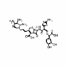 NC1=C(N)C(N)N(C/C=C/C2=C(C(=O)O)N3C(=O)C(NC(=O)/C(=N\OC(C(=O)O)c4ccc(O)c(O)c4)c4csc(N)n4)[C@@H]3SC2)C=N1